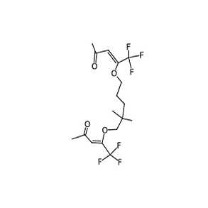 CC(=O)/C=C(\OCCCC(C)(C)CO/C(=C\C(C)=O)C(F)(F)F)C(F)(F)F